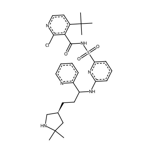 CC1(C)C[C@H](CCC(Nc2cccc(S(=O)(=O)NC(=O)c3c(C(C)(C)C)ccnc3Cl)n2)c2ccccn2)CN1